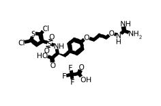 N=C(N)NOCCCOc1ccc(C[C@H](NS(=O)(=O)c2cc(Cl)sc2Cl)C(=O)O)cc1.O=C(O)C(F)(F)F